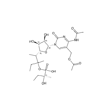 CCC(C)(OP(=O)(O)[C@@](C)(O)CC)C(C)[C@H]1O[C@@H](n2cc(COC(C)=O)c(NC(C)=O)nc2=O)[C@H](O)[C@@H]1O